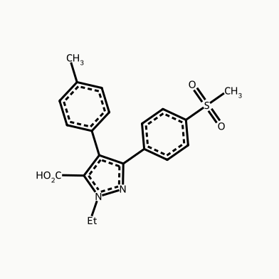 CCn1nc(-c2ccc(S(C)(=O)=O)cc2)c(-c2ccc(C)cc2)c1C(=O)O